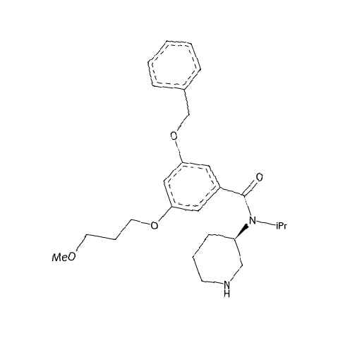 COCCCOc1cc(OCc2ccccc2)cc(C(=O)N(C(C)C)[C@@H]2CCCNC2)c1